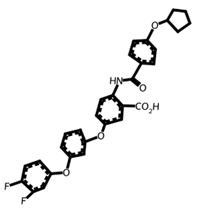 O=C(Nc1ccc(Oc2cccc(Oc3ccc(F)c(F)c3)c2)cc1C(=O)O)c1ccc(OC2CCCC2)cc1